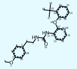 COc1ccc(CCNC(=O)Nc2cccnc2Oc2ccccc2C(C)(C)C)cc1